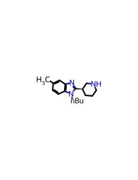 CCCCn1c([C@@H]2CCCNC2)nc2cc(C)ccc21